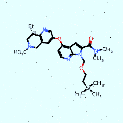 CC[C@H]1CN(C(=O)O)Cc2cc(Oc3ccnc4c3cc(C(=O)N(C)C)n4COCC[Si](C)(C)C)cnc21